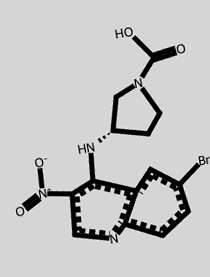 O=C(O)N1CC[C@H](Nc2c([N+](=O)[O-])cnc3ccc(Br)cc23)C1